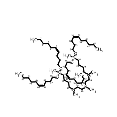 CCCCC/C=C\CCCO[Si](C)(CCCCN(C)CCN(C)CCN(C)CCCC[Si](C)(OCCC/C=C\CCCCC)OCCC/C=C\CCCCC)OCCC/C=C\CCCCC